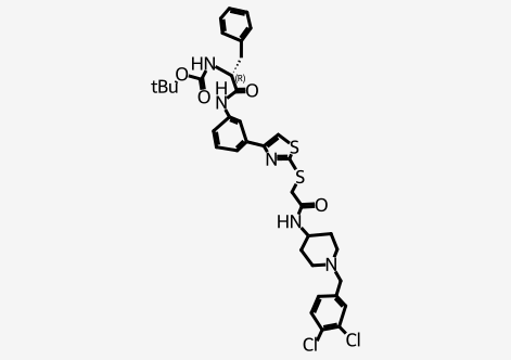 CC(C)(C)OC(=O)N[C@H](Cc1ccccc1)C(=O)Nc1cccc(-c2csc(SCC(=O)NC3CCN(Cc4ccc(Cl)c(Cl)c4)CC3)n2)c1